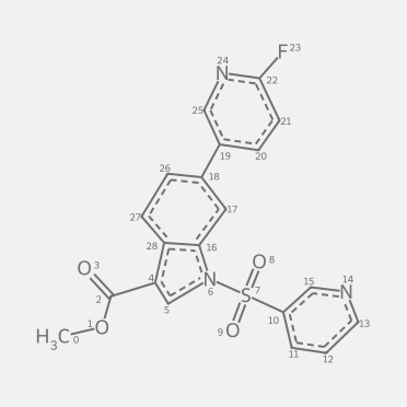 COC(=O)c1cn(S(=O)(=O)c2cccnc2)c2cc(-c3ccc(F)nc3)ccc12